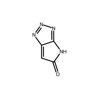 O=C1C=C2N=NN=C2N1